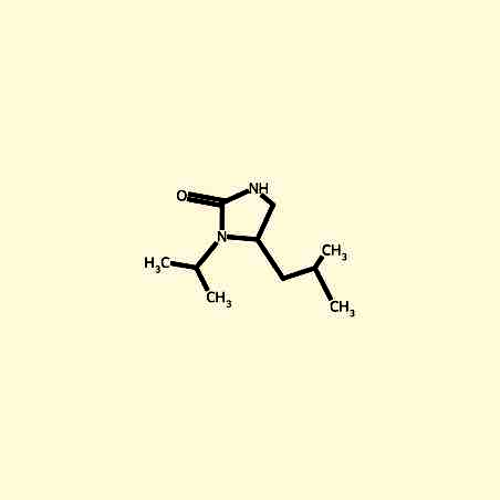 CC(C)CC1CNC(=O)N1C(C)C